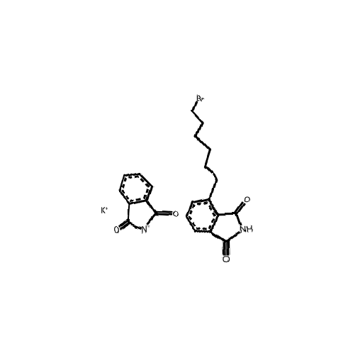 O=C1NC(=O)c2c(CCCCCCBr)cccc21.O=C1[N-]C(=O)c2ccccc21.[K+]